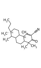 CCC[C@@]1(C)CCC2C(CCC3C(C)(C)C(=O)C(C#N)=C[C@]23C)C1C